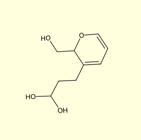 OCC1OC=CC=C1CCC(O)O